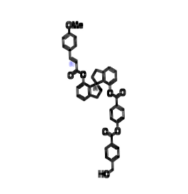 COc1ccc(/C=C/C(=O)Oc2cccc3c2[C@]2(CC3)CCc3cccc(OC(=O)c4ccc(OC(=O)c5ccc(CO)cc5)cc4)c32)cc1